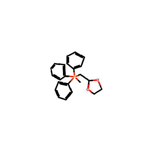 CP(CC1OCCO1)(c1ccccc1)(c1ccccc1)c1ccccc1